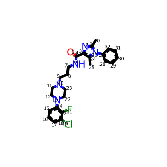 Cc1nc(C(=O)NCCCN2CCN(c3cccc(Cl)c3F)CC2)c(C)n1-c1ccccc1